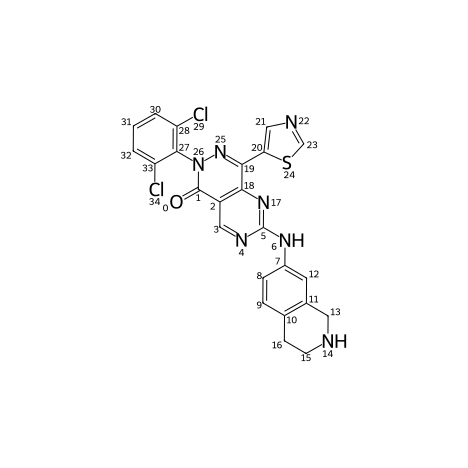 O=c1c2cnc(Nc3ccc4c(c3)CNCC4)nc2c(-c2cncs2)nn1-c1c(Cl)cccc1Cl